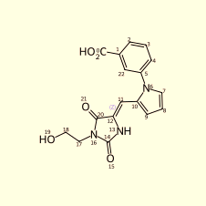 O=C(O)c1cccc(-n2cccc2/C=C2\NC(=O)N(CCO)C2=O)c1